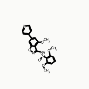 COc1cccc(OC)c1[S+]([O-])Nc1noc2cc(-c3ccncc3)cc(OC)c12